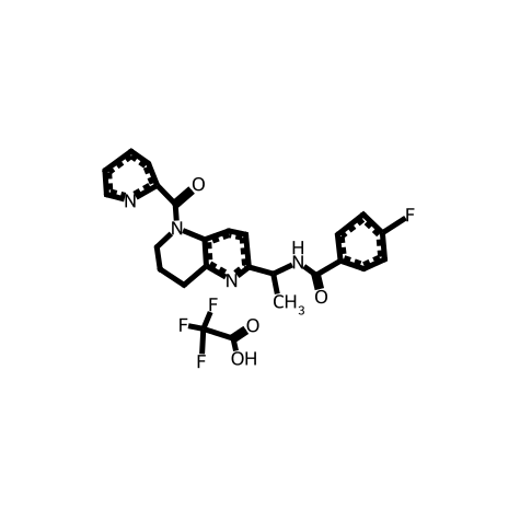 CC(NC(=O)c1ccc(F)cc1)c1ccc2c(n1)CCCN2C(=O)c1ccccn1.O=C(O)C(F)(F)F